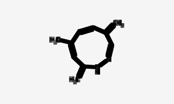 C=c1ccc(C)cc(=C)[nH]nc1